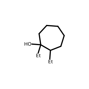 CCC1CCCCCC1(O)CC